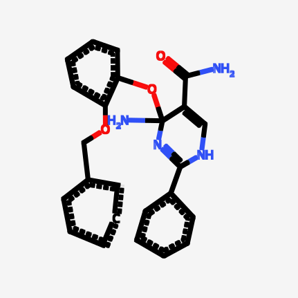 NC(=O)C1=CNC(c2ccccc2)=NC1(N)Oc1ccccc1OCc1ccccc1